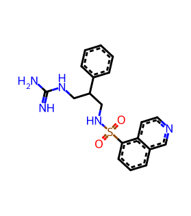 N=C(N)NCC(CNS(=O)(=O)c1cccc2cnccc12)c1ccccc1